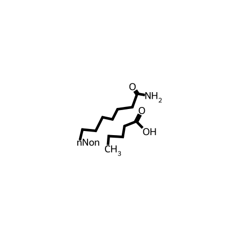 CCCCC(=O)O.CCCCCCCCCCCCCCCC(N)=O